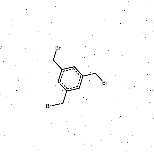 BrCc1cc(CBr)cc(CBr)c1